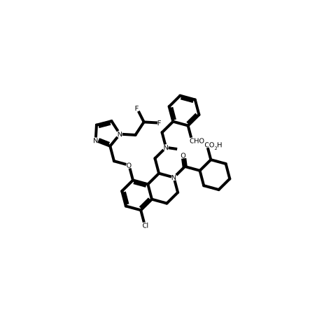 CN(Cc1ccccc1C=O)CC1c2c(OCc3nccn3CC(F)F)ccc(Cl)c2CCN1C(=O)C1CCCCC1C(=O)O